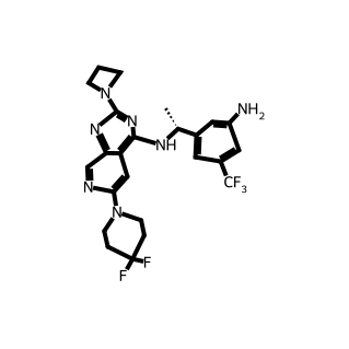 C[C@@H](Nc1nc(N2CCC2)nc2cnc(N3CCC(F)(F)CC3)cc12)c1cc(N)cc(C(F)(F)F)c1